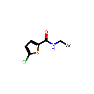 CC(=O)CNC(=O)c1ccc(Cl)s1